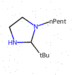 CCCCCN1CCNC1C(C)(C)C